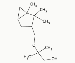 CC(C)(CO)OCC1CC2CC2(C)C1(C)C